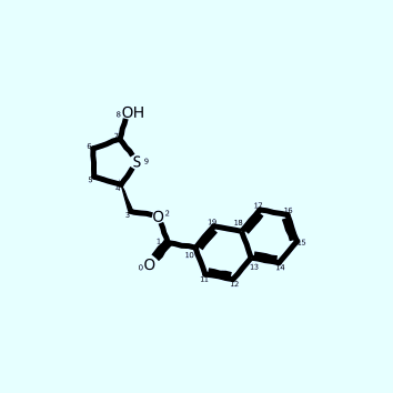 O=C(OC[C@H]1CCC(O)S1)c1ccc2ccccc2c1